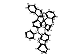 c1ccc(N(c2ccc3c(c2)C2(c4ccccc4Oc4ccccc42)c2ccc4ccccc4c2-3)c2cccc3c2oc2ccccc23)cc1